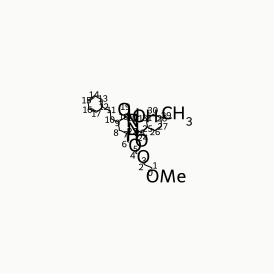 COCCOCOCC(CC(CCc1ccccc1)C(=O)NO)NC(=O)C1CCC(C)CC1